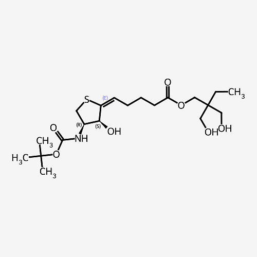 CCC(CO)(CO)COC(=O)CCC/C=C1/SC[C@H](NC(=O)OC(C)(C)C)[C@@H]1O